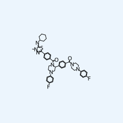 Cn1nc(-c2ccc(C(=O)N3CCN(c4ccc(F)cc4)CC3c3ccc(C(=O)N4CCN(c5ccc(F)cc5)CC4)cc3)cc2)sc1=NC1CCCCC1